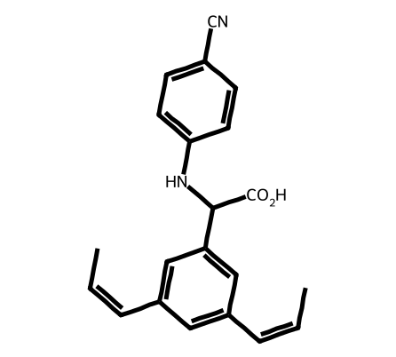 C/C=C\c1cc(/C=C\C)cc(C(Nc2ccc(C#N)cc2)C(=O)O)c1